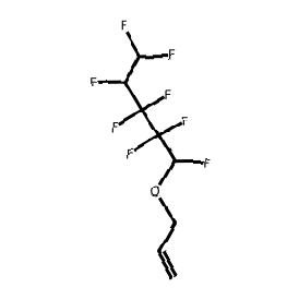 C=CCOC(F)C(F)(F)C(F)(F)C(F)C(F)F